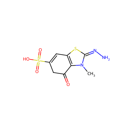 Cn1c2c(sc1=NN)C=C(S(=O)(=O)O)CC2=O